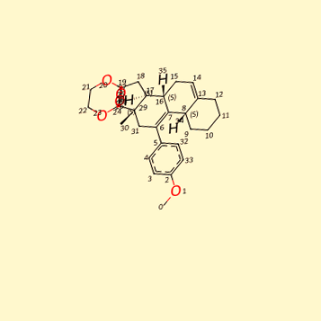 COc1ccc(C2=C3[C@H]4CCCCC4=CC[C@H]3[C@@H]3CC45OCCOC4(OCCO5)[C@@]3(C)C2)cc1